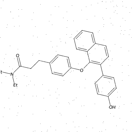 CCN(CC)C(=O)CCc1ccc(Oc2c(-c3ccc(O)cc3)ccc3ccccc23)cc1